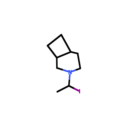 CC(I)N1CCC2CCC2C1